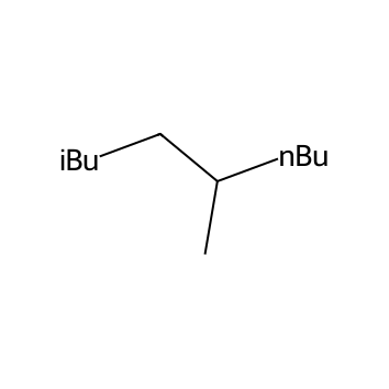 [CH2]CC(C)CC(C)CCCC